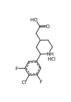 Cl.O=C(O)CC1CCNC(c2cc(F)c(Cl)c(F)c2)C1